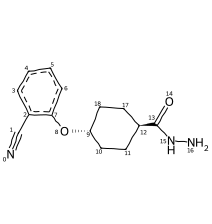 N#Cc1ccccc1O[C@H]1CC[C@H](C(=O)NN)CC1